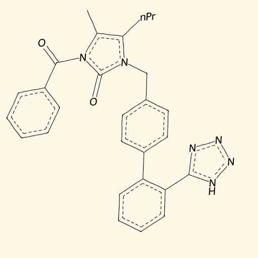 CCCc1c(C)n(C(=O)c2ccccc2)c(=O)n1Cc1ccc(-c2ccccc2-c2nnn[nH]2)cc1